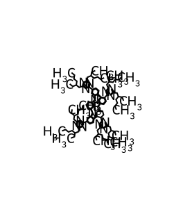 CCCCC(CC)Cc1nc(CC(CC)CCCC)nc(-c2ccc3c4c5n(c3c2)-c2cccc3c2B(C5=CCC4c2nc(CC(CC)CCCC)nc(CC(CC)CCCC)n2)c2ccc(-c4nc(CC(CC)CCCC)nc(CC(CC)CCCC)n4)c4c5ccc(-c6nc(CC(CC)CCCC)nc(CC(CC)CCCC)n6)cc5n-3c24)n1